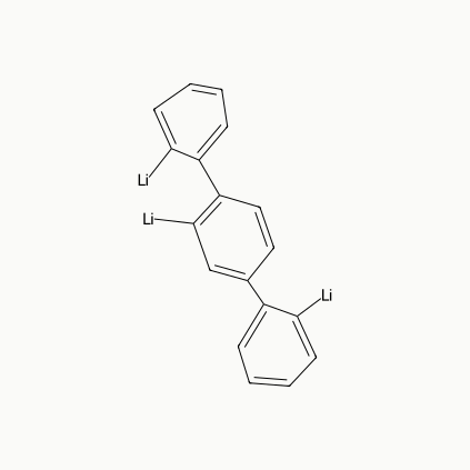 [Li][c]1ccccc1-c1ccc(-c2cccc[c]2[Li])[c]([Li])c1